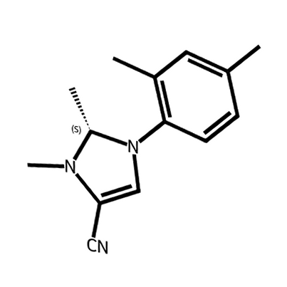 Cc1ccc(N2C=C(C#N)N(C)[C@@H]2C)c(C)c1